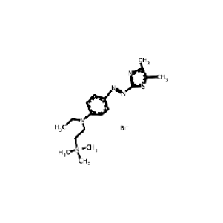 CCN(CC[N+](C)(C)C)c1ccc(/N=N/c2nc(C)c(C)s2)cc1.[Br-]